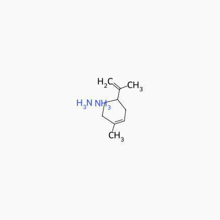 C=C(C)C1CC=C(C)CC1.N.N